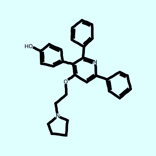 Oc1ccc(-c2c(OCCN3CCCC3)cc(-c3ccccc3)nc2-c2ccccc2)cc1